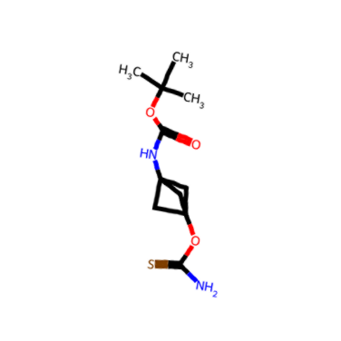 CC(C)(C)OC(=O)NC12CC(OC(N)=S)(C1)C2